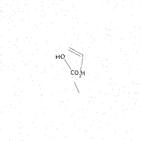 C=CC.CC.O=C(O)O